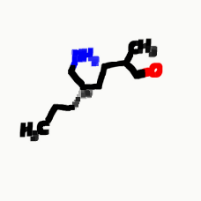 CCC[C@H](CN)CCC(C)C=O